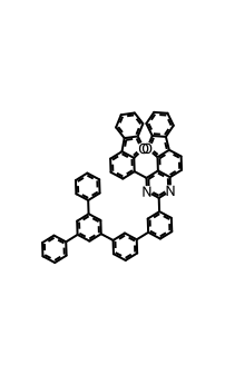 c1ccc(-c2cc(-c3ccccc3)cc(-c3cccc(-c4cccc(-c5nc(-c6cccc7c6oc6ccccc67)c6c(ccc7c8ccccc8oc76)n5)c4)c3)c2)cc1